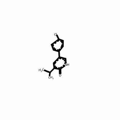 CC(C)c1cc(-c2ccc(Cl)cc2)c[nH]c1=O